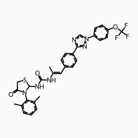 C/C(=C\c1ccc(-c2ncn(-c3ccc(OC(F)(F)F)cc3)n2)cc1)NC(=O)NC1SCC(=O)N1c1c(C)cccc1C